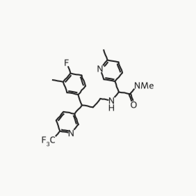 CNC(=O)C(NCCC(c1ccc(C(F)(F)F)nc1)c1ccc(F)c(C)c1)c1ccc(C)nc1